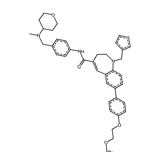 CCCCOCCOc1ccc(-c2ccc3c(c2)C=C(C(=O)Nc2ccc(CN(C)C4CCOCC4)cc2)CCN3Cc2ccsc2)cc1